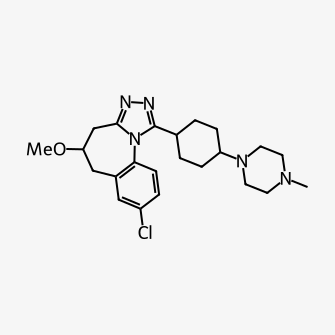 COC1Cc2cc(Cl)ccc2-n2c(nnc2C2CCC(N3CCN(C)CC3)CC2)C1